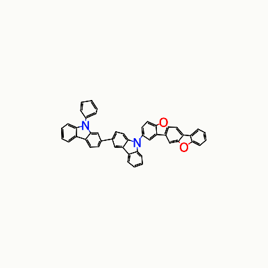 c1ccc(-n2c3ccccc3c3ccc(-c4ccc5c(c4)c4ccccc4n5-c4ccc5oc6cc7c(cc6c5c4)oc4ccccc47)cc32)cc1